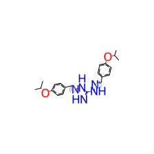 CC(C)Oc1ccc(/C=N/NC(=N)N/N=C/c2ccc(OC(C)C)cc2)cc1